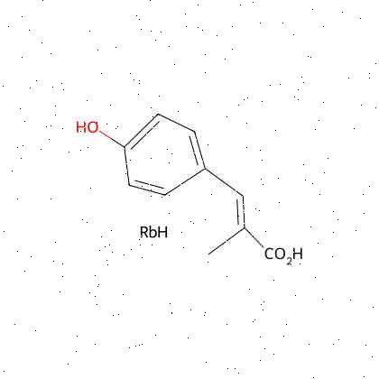 CC(=Cc1ccc(O)cc1)C(=O)O.[RbH]